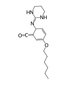 CCCCCCOC1=CC(=C=O)C(N=C2NCCCN2)C=C1